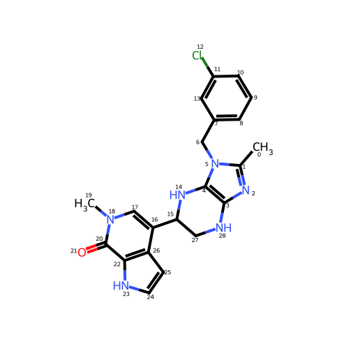 Cc1nc2c(n1Cc1cccc(Cl)c1)NC(c1cn(C)c(=O)c3[nH]ccc13)CN2